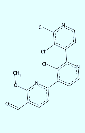 COc1nc(-c2ccnc(-c3ccnc(Cl)c3Cl)c2Cl)ccc1C=O